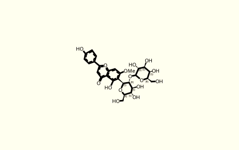 COc1cc2oc(-c3ccc(O)cc3)cc(=O)c2c(O)c1[C@@H]1O[C@H](CO)[C@@H](O)[C@H](O)[C@H]1OC1O[C@H](CO)[C@@H](O)[C@H](O)[C@H]1O